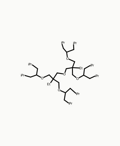 CCC(COCC(CC)(COC(CC(C)C)CC(C)C)COC(CC(C)C)CC(C)C)(COC(CC(C)C)CC(C)C)COC(CC(C)C)CC(C)C